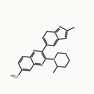 CC1=CC2=CC(c3nc4ccc(C(=O)O)cc4nc3N3CCCCC3C)=CCC2=N1